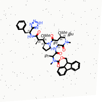 CC[C@H](C)[C@@H]([C@@H](CC(=O)N1CCC[C@H]1[C@H](OC)[C@@H](C)C(=O)N[C@@H](Cc1ccccc1)c1nn[nH]n1)OC)N(C)C(=O)[C@@H](NC(=O)C(C(C)C)N(C)C(=O)OCC1c2ccccc2-c2ccccc21)C(C)C